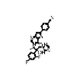 C[C@@H](n1cnc2cc(-c3ccc(C#N)cc3)sc2c1=O)[C@](O)(Cn1cncn1)c1ccc(F)cc1F